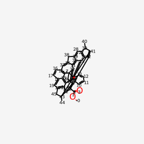 COC(=O)CCCC1(c2ccccc2)c2c3ccc4cc5c6c7c8c9c%10c%11c(cc%12c%10c(c1c9c6c24)C(=C3)C%12)C(C)C(=C%118)C7(C)C5